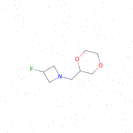 FC1CN(CC2COCCO2)C1